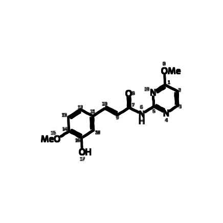 COc1ccnc(NC(=O)/C=C/c2ccc(OC)c(O)c2)n1